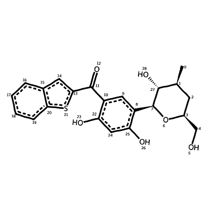 C[C@H]1C[C@@H](CO)O[C@@H](c2cc(C(=O)c3cc4ccccc4s3)c(O)cc2O)[C@@H]1O